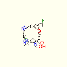 CCn1c(C(=O)O)c2c3ccc(Cl)c(c31)-c1c(C)c(C)nn1CCCc1cc(n(C)n1)CCc1cc(c3ccc(F)cc3c1)OCCC2